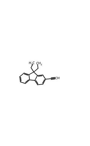 C#Cc1ccc2c(c1)C(CC)(CC)c1ccccc1-2